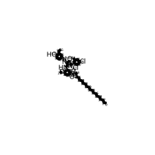 CCCCCCCCCCCCCCCCCCN(C)S(=O)(=O)c1ccc(OC)c(NC2=NN(c3c(C)cc(Cl)cc3Cl)C(=O)C2/N=N/c2ccc(O)c(CC)c2)c1